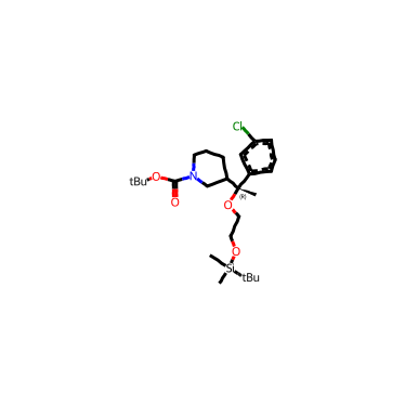 CC(C)(C)OC(=O)N1CCCC([C@@](C)(OCCO[Si](C)(C)C(C)(C)C)c2cccc(Cl)c2)C1